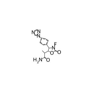 CC(C(N)=O)C1OC(=O)N(F)C1c1ccc(-n2cncn2)cc1